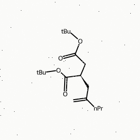 C=C(CCC)C[C@H](CC(=O)OC(C)(C)C)C(=O)OC(C)(C)C